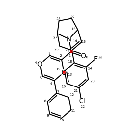 O=C(C1=COC=C(C2=CC=CCC2)O1)N1C2C=C(c3ccc(Cl)cc3F)CC1CC2